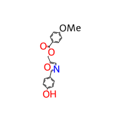 COc1ccc(C(=O)OCc2cnc(-c3ccc(O)cc3)o2)cc1